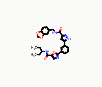 CCC(CC)NC(=O)c1cnc(-c2cccc(-c3cc(C(=O)NCc4ccc5c(c4)OCO5)n[nH]3)c2)o1